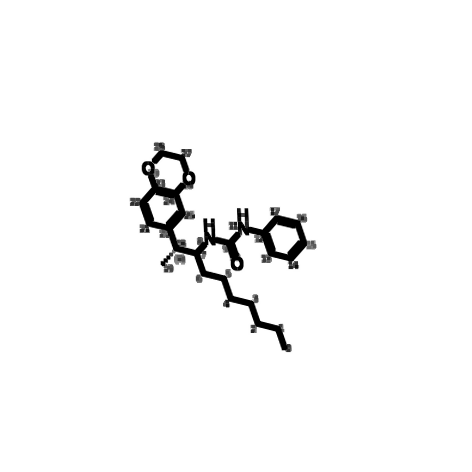 CCCCCCCC(NC(=O)Nc1ccccc1)[C@H](C)c1ccc2c(c1)OCCO2